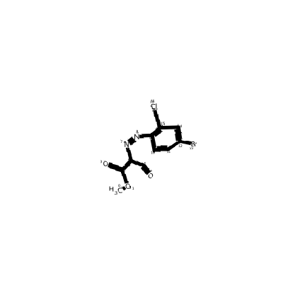 COC(=O)C(C=O)/N=N\c1ccc(Br)cc1Cl